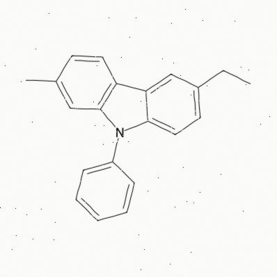 CCc1ccc2c(c1)c1ccc(C)cc1n2-c1ccccc1